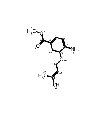 COC(=O)C1=CC=C(N)C(OCC=C(C)C)C1